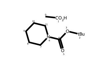 CC(=O)O.CC(C)(C)OC(=O)N1CCCCC1